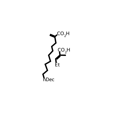 C=C(CCCCCCCCCCCCCCCCCC)C(=O)O.CCC=C(C)C(=O)O